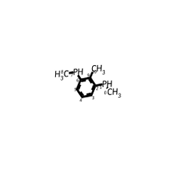 CPc1cccc(PC)c1C